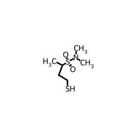 CC(CCS)S(=O)(=O)N(C)C